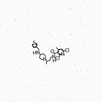 Cc1cc(Cl)nc(Cl)c1C(=O)NCCC(C)N1CCC(NCc2ccsc2)CC1